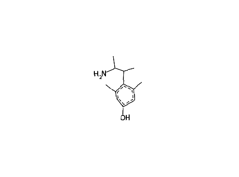 Cc1cc(O)cc(C)c1C(C)C(C)N